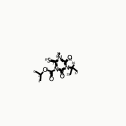 CC(C)OC(=O)n1c(=S)n(C)c(=O)n(C(C)(C)C)c1=O